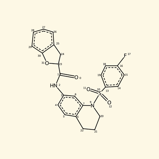 O=C(Nc1ccc2c(c1)N(S(=O)(=O)c1ccc(F)cc1)CCC2)C1Cc2ccccc2O1